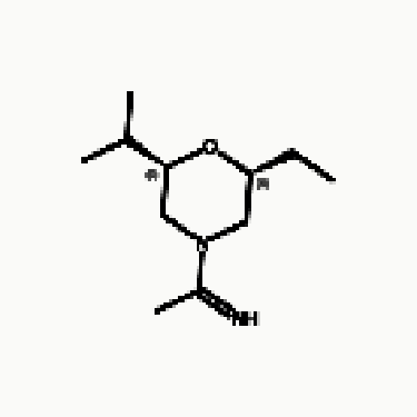 CC[C@H]1CN(C(C)=N)C[C@@H](C(C)C)O1